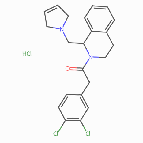 Cl.O=C(Cc1ccc(Cl)c(Cl)c1)N1CCc2ccccc2C1CN1CC=CC1